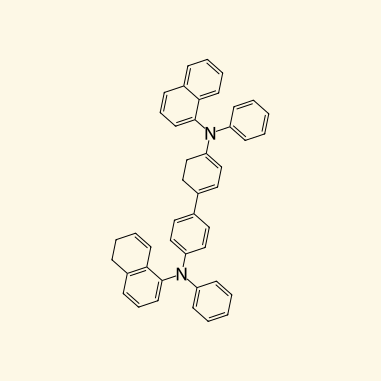 C1=Cc2c(cccc2N(c2ccccc2)c2ccc(C3=CC=C(N(c4ccccc4)c4cccc5ccccc45)CC3)cc2)CC1